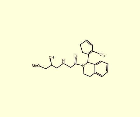 COC[C@@H](O)CNCC(=O)N1CCc2ccccc2C1C1=C(C(F)(F)F)C=CCC1